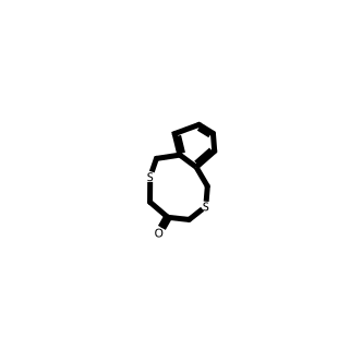 O=C1CSCc2ccccc2CSC1